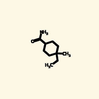 CCC1(C)CCC(C(N)=O)CC1